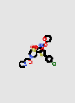 O=C(C[C@]1(c2ccc(-c3ccc(Cl)cc3)s2)CCN(C(=O)Cc2ccccn2)CCS1(=O)=O)NOC1CCCCO1